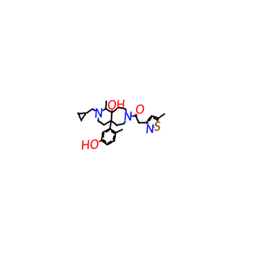 Cc1cc(CC(=O)N2CCC3(c4cc(O)ccc4C)CCN(CC4CC4)C(C)C3(O)CC2)ns1